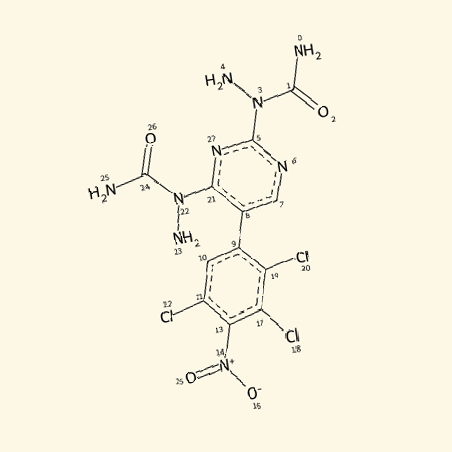 NC(=O)N(N)c1ncc(-c2cc(Cl)c([N+](=O)[O-])c(Cl)c2Cl)c(N(N)C(N)=O)n1